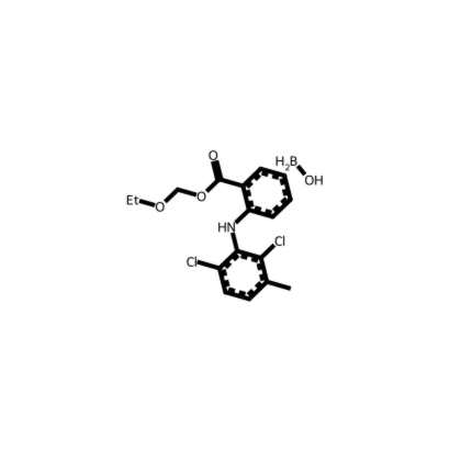 BO.CCOCOC(=O)c1ccccc1Nc1c(Cl)ccc(C)c1Cl